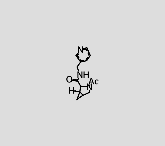 CC(=O)N1CC2C[C@@H]2C1C(=O)NCc1cccnc1